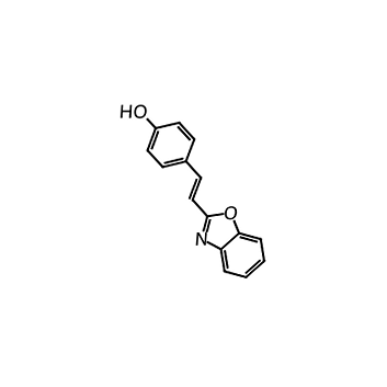 Oc1ccc(/C=C/c2nc3ccccc3o2)cc1